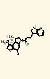 Cc1csc2c1[C@]1(C)C(=CC2=O)N(C(=O)/C=C/c2c[nH]c3ncccc23)C[C@H]1C